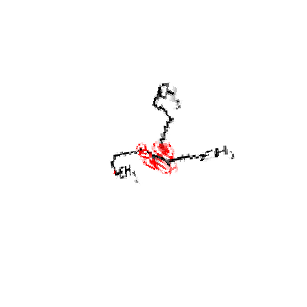 CC/C=C\C/C=C\C/C=C\CCCCCCCC(=O)OCC(C(=O)O)C(CCCCCCCCCCCCC)OC(=O)CCCCCCC/C=C\C/C=C\C/C=C\CC